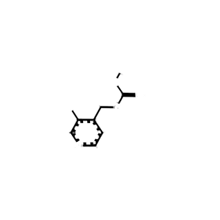 CC(C)(C)OC(=O)NCc1ccncc1O